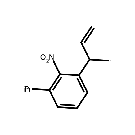 [CH2]C(C=C)c1cccc(C(C)C)c1[N+](=O)[O-]